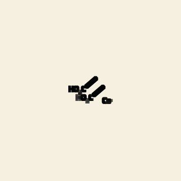 CC(=O)O.CC(=O)O.[Co]